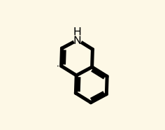 [C]1=CNCc2ccccc21